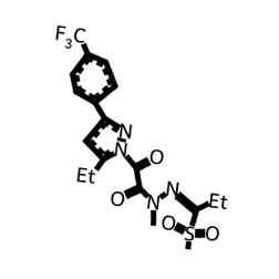 CCC(=NN(C)C(=O)C(=O)n1nc(-c2ccc(C(F)(F)F)cc2)cc1CC)S(C)(=O)=O